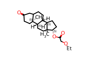 CCOCC(=O)O[C@H]1CC[C@H]2[C@@H]3CCC4CC(=O)CC[C@]4(C)[C@H]3CC[C@]12C